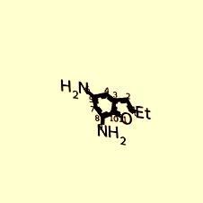 CCc1cc2cc(N)cc(N)c2o1